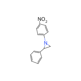 O=[N+]([O-])c1ccc(N2CC2c2ccccc2)cc1